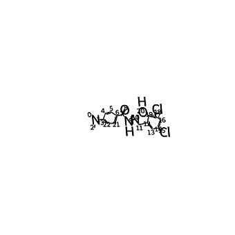 CN(C)c1ccc(C(=O)N/N=C/c2cc(Cl)cc(Cl)c2O)cc1